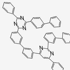 c1ccc(-c2ccc(-c3nc(-c4ccccc4)nc(-c4cccc(-c5cccc(-c6cc(-c7ccccc7)nc(-c7cccc(-c8ccccc8)c7)n6)c5)c4)n3)cc2)cc1